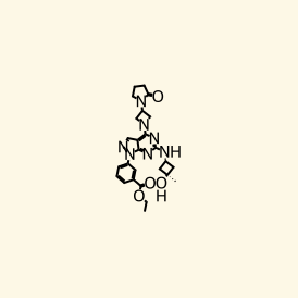 CCOC(=O)c1cccc(-n2ncc3c(N4CC(N5CCCC5=O)C4)nc(N[C@H]4C[C@](C)(O)C4)nc32)c1